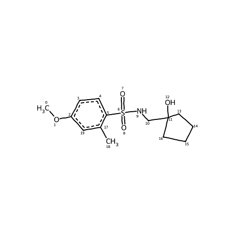 COc1ccc(S(=O)(=O)NCC2(O)CCCC2)c(C)c1